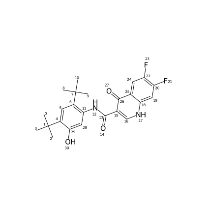 CC(C)(C)c1cc(C(C)(C)C)c(NC(=O)c2c[nH]c3cc(F)c(F)cc3c2=O)cc1O